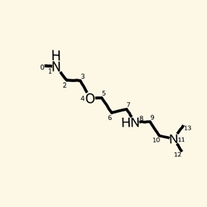 CNCCOCCCNCCN(C)C